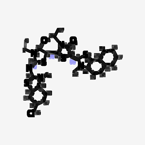 CCN1C(=O)/C(=c2/s/c(=C3/Sc4c(ccc5ccccc45)N3C)c(=O)n2CC)S/C1=N\c1sc2cc(Cl)ccc2[n+]1C